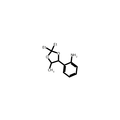 CCC1(CC)OC(C)C(c2ccccc2N)O1